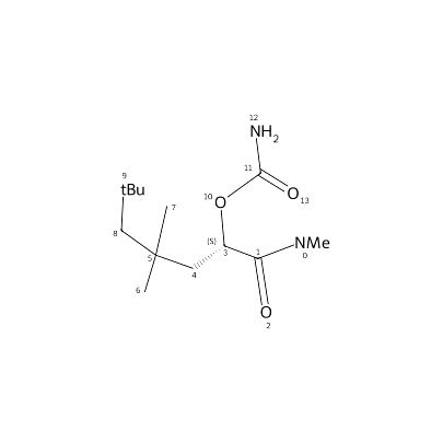 CNC(=O)[C@H](CC(C)(C)CC(C)(C)C)OC(N)=O